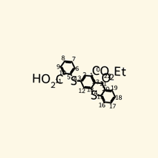 CCOC(=O)c1cc(Sc2ccccc2C(=O)O)cc2sc3ccccc3c(=O)c12